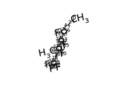 CCCCCc1ccc(-c2ccc(-c3cc(C)c(C#Cc4cc(F)c(F)c(F)c4)c(F)c3)c(F)c2)c(F)c1